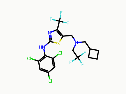 FC(F)(F)CN(Cc1sc(Nc2c(Cl)cc(Cl)cc2Cl)nc1C(F)(F)F)CC1CCC1